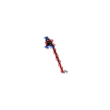 CCCOCCOCCOCCOCCOCCOCCOCCOCCNC(=O)c1ccc2c(c1)C(=O)OC21c2ccc(N(C)C)cc2Oc2cc(N(C)C)ccc21